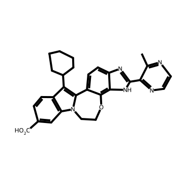 Cc1nccnc1-c1nc2ccc3c(c2[nH]1)OCCn1c-3c(C2CCCCC2)c2ccc(C(=O)O)cc21